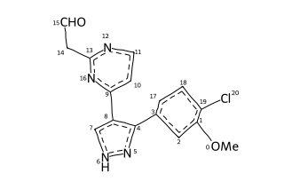 COc1cc(-c2n[nH]cc2-c2ccnc(CC=O)n2)ccc1Cl